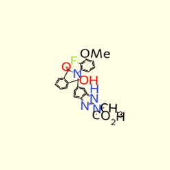 COc1cccc(N2C(=O)c3ccccc3C2(O)c2ccc3nc(N(C)C(=O)O)[nH]c3c2)c1F